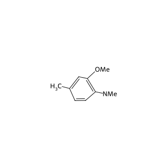 CNc1ccc(C)cc1OC